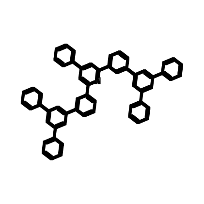 c1ccc(-c2cc(-c3ccccc3)cc(-c3cccc(-c4cc(-c5ccccc5)cc(-c5cccc(-c6cc(-c7ccccc7)cc(-c7ccccc7)c6)c5)n4)c3)c2)cc1